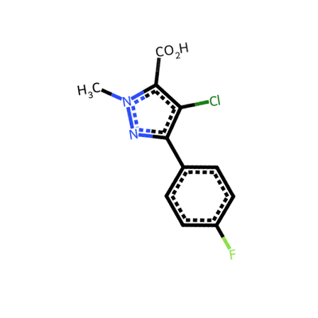 Cn1nc(-c2ccc(F)cc2)c(Cl)c1C(=O)O